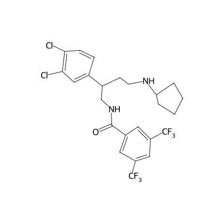 O=C(NCC(CCNC1CCCC1)c1ccc(Cl)c(Cl)c1)c1cc(C(F)(F)F)cc(C(F)(F)F)c1